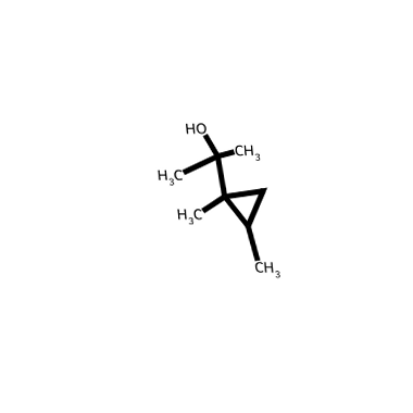 CC1CC1(C)C(C)(C)O